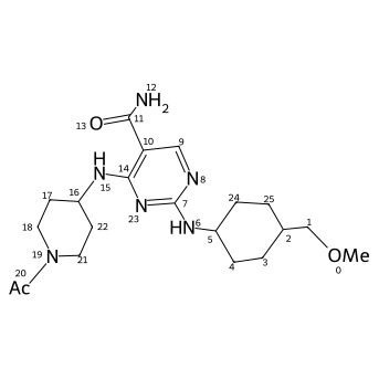 COCC1CCC(Nc2ncc(C(N)=O)c(NC3CCN(C(C)=O)CC3)n2)CC1